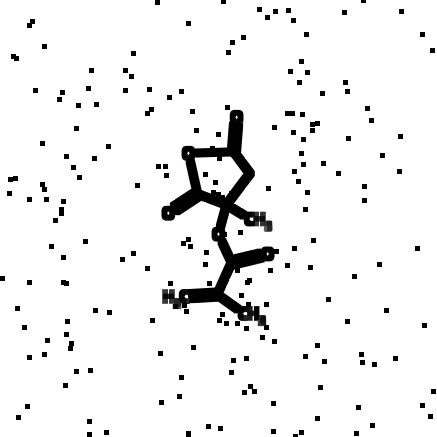 C=C(C)C(=O)OC1(C)CC(=O)OC1=O